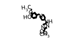 CCOc1cc(CN2CCC(Nc3cnc(C(=O)OC)cn3)CC2)ccc1O